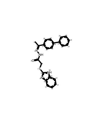 C/C(=N/NC(=O)CSc1nc2ccccc2[nH]1)c1ccc(-c2ccccc2)cc1